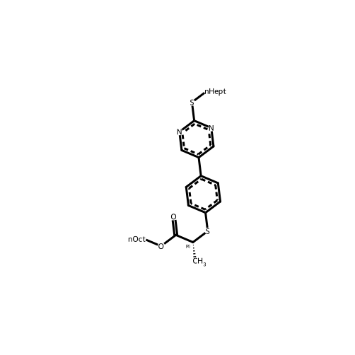 CCCCCCCCOC(=O)[C@@H](C)Sc1ccc(-c2cnc(SCCCCCCC)nc2)cc1